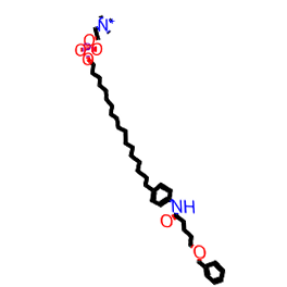 C[N+](C)(C)CCOP(=O)([O-])OCCCCCCCCCCCCCCCCCCc1ccc(NC(=O)CCCCOCc2ccccc2)cc1